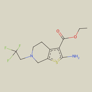 CCOC(=O)c1c(N)sc2c1CCN(CC(F)(F)F)C2